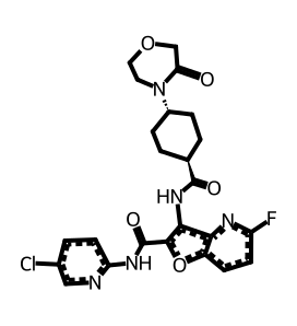 O=C(Nc1ccc(Cl)cn1)c1oc2ccc(F)nc2c1NC(=O)[C@H]1CC[C@H](N2CCOCC2=O)CC1